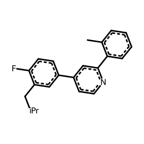 Cc1ccccc1-c1cc(-c2ccc(F)c(CC(C)C)c2)ccn1